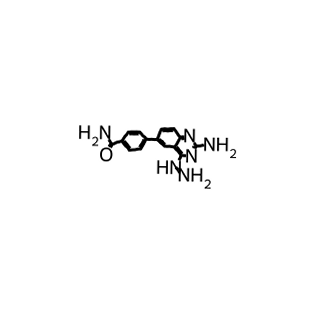 NNc1nc(N)nc2ccc(-c3ccc(C(N)=O)cc3)cc12